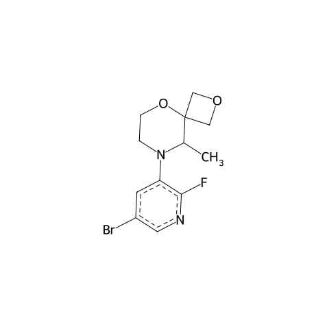 CC1N(c2cc(Br)cnc2F)CCOC12COC2